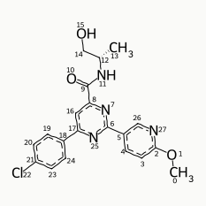 COc1ccc(-c2nc(C(=O)N[C@@H](C)CO)cc(-c3ccc(Cl)cc3)n2)cn1